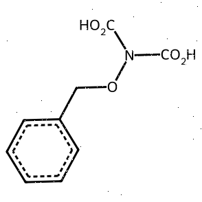 O=C(O)N(OCc1ccccc1)C(=O)O